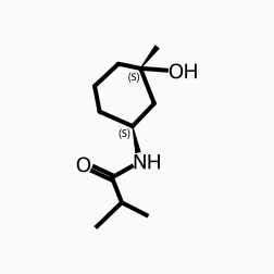 CC(C)C(=O)N[C@H]1CCC[C@](C)(O)C1